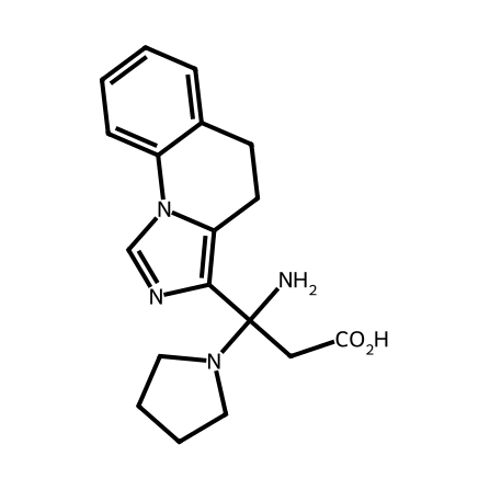 NC(CC(=O)O)(c1ncn2c1CCc1ccccc1-2)N1CCCC1